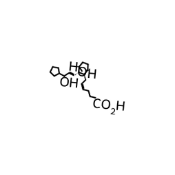 O=C(O)CCC/C=C\C[C@H]1[C@H](/C=C/C(O)C2CCCC2)[C@@H]2CC[C@H]1O2